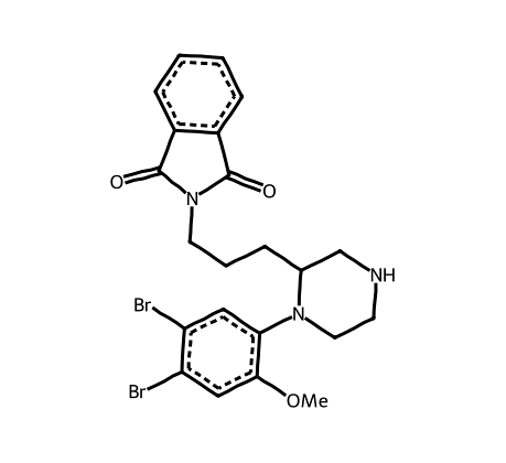 COc1cc(Br)c(Br)cc1N1CCNCC1CCCN1C(=O)c2ccccc2C1=O